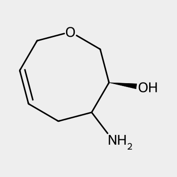 NC1CC=CCOC[C@H]1O